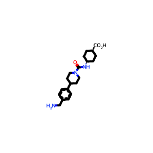 NCc1ccc(C2CCN(C(=O)N[C@H]3CC[C@H](C(=O)O)CC3)CC2)cc1